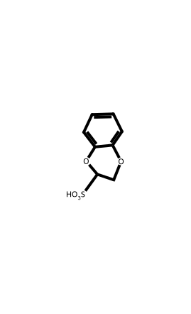 O=S(=O)(O)C1COc2ccccc2O1